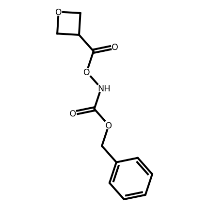 O=C(NOC(=O)C1COC1)OCc1ccccc1